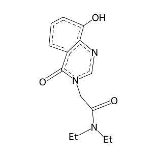 CCN(CC)C(=O)Cn1cnc2c(O)cccc2c1=O